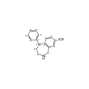 N#Cc1ccc2c(c1)CNCCN2c1ccccc1